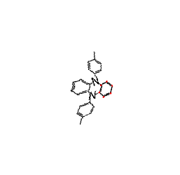 Cc1ccc(N(c2ccccc2)c2ccccc2N(c2ccccc2)c2ccc(C)cc2)cc1